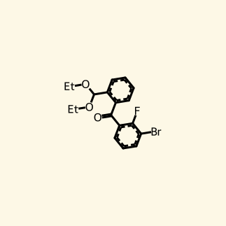 CCOC(OCC)c1ccccc1C(=O)c1cccc(Br)c1F